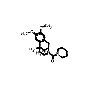 COc1cc2c(cc1OC)C1(C)CCN(C(=O)N3CCCCC3)C(C2)C1(C)C